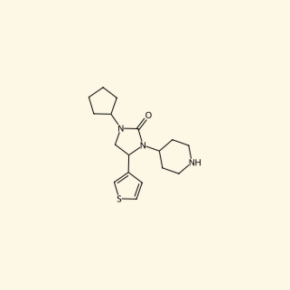 O=C1N(C2CCCC2)CC(c2ccsc2)N1C1CCNCC1